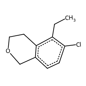 CCc1c(Cl)ccc2c1CCOC2